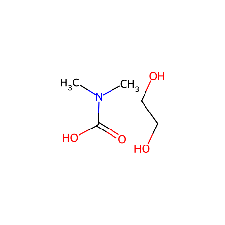 CN(C)C(=O)O.OCCO